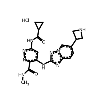 CNC(=O)c1nnc(NC(=O)C2CC2)cc1Nc1nc2ccc(C3CNC3)cn2n1.Cl